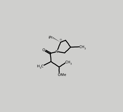 COC(C)C(C)C(=O)N1CC(C)C[C@H]1C(C)C